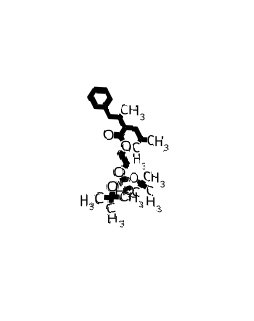 CC(C)CC(C(=O)OCCOP(=O)(OC(C)(C)C)OC(C)(C)C)C(C)Cc1ccccc1